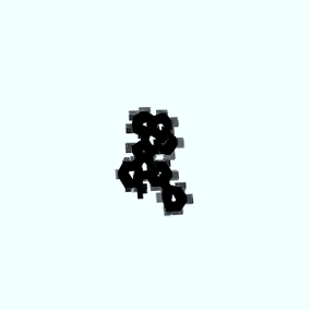 Fc1cccc2c3c([n+]4ccc(-c5ccccc5)cc4c12)C1C(C3)c2cccc3c2C2N(C=CN12)CC3